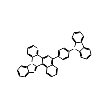 c1ccc2c(c1)nc1c3c4ccccc4c(-c4ccc(-n5c6ccccc6c6ccccc65)cc4)cc3c3ncccc3n21